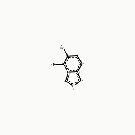 Fc1c(Br)ccc2cncn12